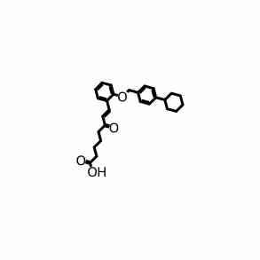 O=C(O)CCCCC(=O)/C=C/c1ccccc1OCc1ccc(C2CCCCC2)cc1